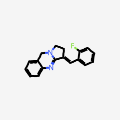 Fc1ccccc1/C=C1\CCN2Cc3ccccc3N=C12